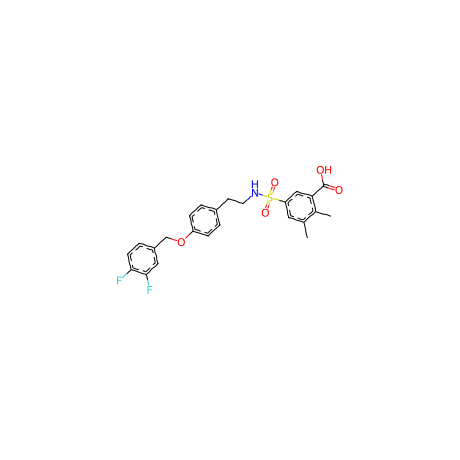 Cc1cc(S(=O)(=O)NCCc2ccc(OCc3ccc(F)c(F)c3)cc2)cc(C(=O)O)c1C